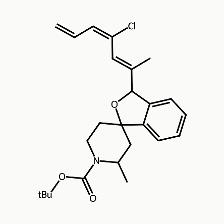 C=C/C=C(Cl)\C=C(/C)C1OC2(CCN(C(=O)OC(C)(C)C)C(C)C2)c2ccccc21